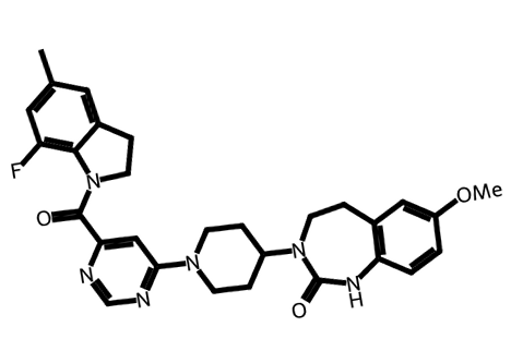 COc1ccc2c(c1)CCN(C1CCN(c3cc(C(=O)N4CCc5cc(C)cc(F)c54)ncn3)CC1)C(=O)N2